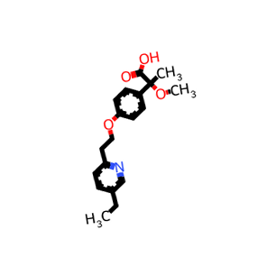 CCc1ccc(CCOc2ccc(C(C)(OC)C(=O)O)cc2)nc1